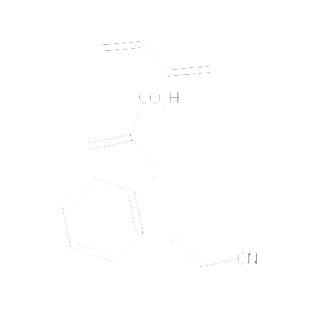 C=C(C)C(=O)O.C=CC#N.C=CC=C.c1ccccc1